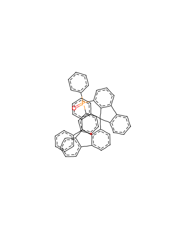 O=P(c1ccccc1)(c1ccccc1)c1cccc2c1C1(c3ccccc3-2)c2ccccc2C2(c3ccccc3)c3ccccc3-c3cccc1c32